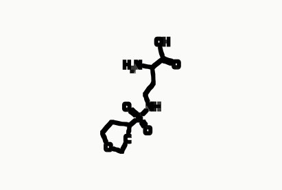 NC(CCNS(=O)(=O)C1CCOCC1)C(=O)O